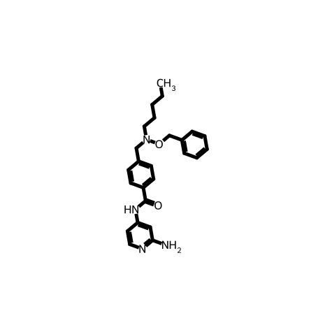 CCCCCN(Cc1ccc(C(=O)Nc2ccnc(N)c2)cc1)OCc1ccccc1